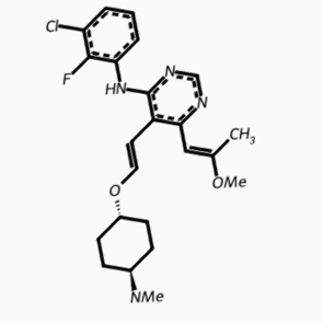 CN[C@H]1CC[C@H](O/C=C/c2c(/C=C(\C)OC)ncnc2Nc2cccc(Cl)c2F)CC1